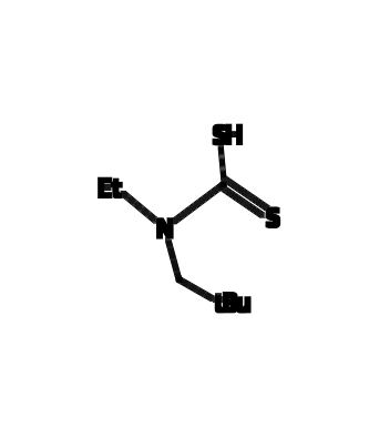 CCN(CC(C)(C)C)C(=S)S